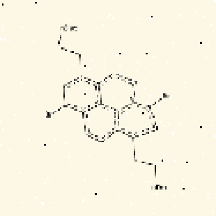 CCCCCCCCCCCCc1cc(Br)c2ccc3c(CCCCCCCCCCCC)cc(Br)c4ccc1c2c43